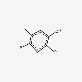 Cc1cc(O)c(C(C)C)cc1F